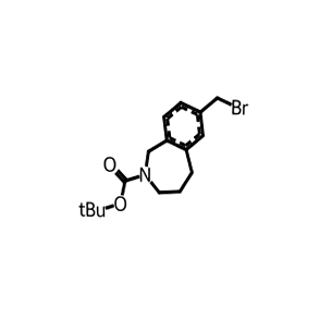 CC(C)(C)OC(=O)N1CCCc2cc(CBr)ccc2C1